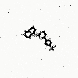 CS(=O)(=O)c1ccc(-c2ccnc(Nc3cccc4ccccc34)n2)cc1